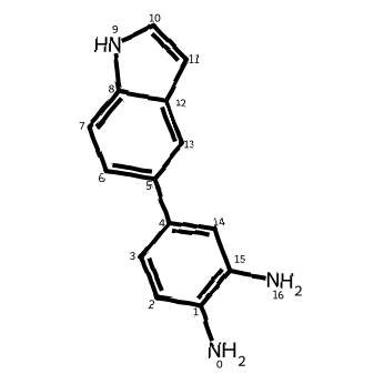 Nc1ccc(-c2ccc3[nH]ccc3c2)cc1N